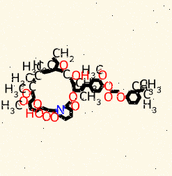 C=CCC1(C)/C=C(\C)CC(C)CC(OC)C2OC(O)(CCC2OC)C(=O)C(=O)N2CCCCC2C(=O)OC(C(C)=CC2CCC(OC(=O)COC3CCCC(C)(C(C)C)C3)C(OC)C2)C(C)C(O)CC1=O